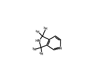 [2H]C1([2H])NC([2H])([2H])c2cnccc21